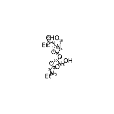 CCN(C)CC(=O)ON(CO)COC(=O)CN(C)CCN(C=O)CC